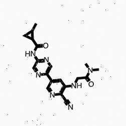 CC1CC1C(=O)Nc1cnc(-c2cnc(C#N)c(NCC(=O)N(C)C)c2)cn1